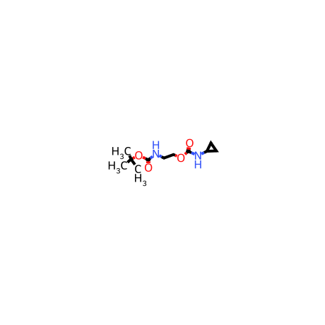 CC(C)(C)OC(=O)NCCOC(=O)NC1CC1